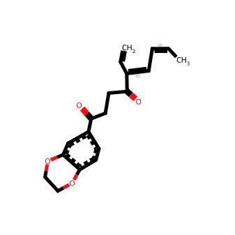 C=C/C(=C\C=C/C)C(=O)CCC(=O)c1ccc2c(c1)OCCO2